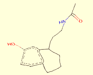 CC(=O)NCCC1CCCc2ccc(O)cc21